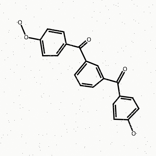 [O]Oc1ccc(C(=O)c2cccc(C(=O)c3ccc([O])cc3)c2)cc1